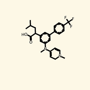 CC(C)CC(C(=O)O)c1cc(-c2ccc(C(F)(F)F)cc2)cc(N(C)C2=CCN(C)C=C2)c1